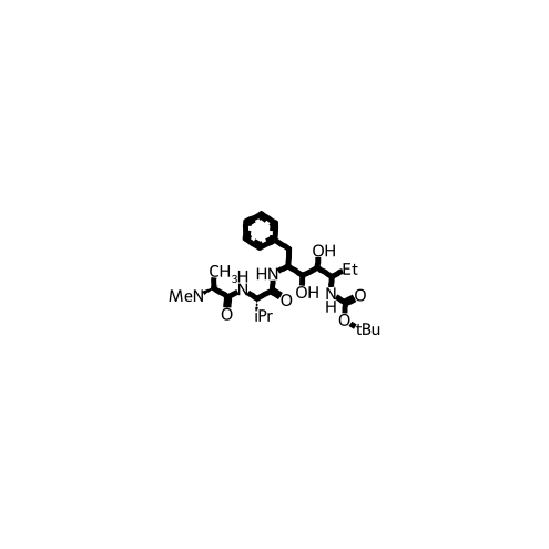 CCC(NC(=O)OC(C)(C)C)C(O)C(O)C(Cc1ccccc1)NC(=O)[C@@H](NC(=O)[C@H](C)NC)C(C)C